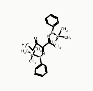 CCC(=O)C(=N\N(c1ccccc1)[Si](C)(C)C)/C(C)=N/N(c1ccccc1)[Si](C)(C)C